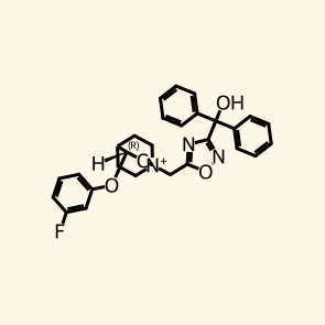 OC(c1ccccc1)(c1ccccc1)c1noc(C[N+]23CCC(CC2)[C@@H](Oc2cccc(F)c2)C3)n1